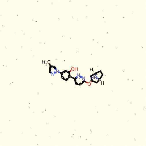 Cc1cnn(-c2ccc(-c3ccc(O[C@H]4C[C@H]5CC[C@@H](C4)N5)nn3)c(O)c2)c1